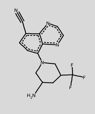 N#Cc1ccc(N2CC(N)CC(C(F)(F)F)C2)c2nccnc12